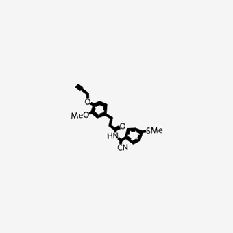 C#CCOc1ccc(CCC(=O)NC(C#N)c2ccc(SC)cc2)cc1OC